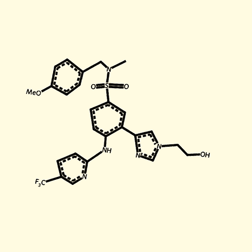 COc1ccc(CN(C)S(=O)(=O)c2ccc(Nc3ccc(C(F)(F)F)cn3)c(-c3cn(CCO)cn3)c2)cc1